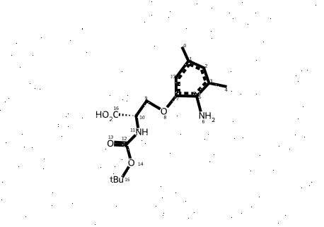 Cc1cc(C)c(N)c(OC[C@H](NC(=O)OC(C)(C)C)C(=O)O)c1